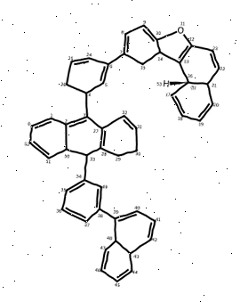 C1=CC2=C(C3C=C(C4=CC=C5OC6=C(C5C4)[C@H]4C=CC=CC4C=C6)C=CC3)C3=C(CCC=C3)C(c3cccc(C4=CC=CC5C=CC=CC45)c3)C2C=C1